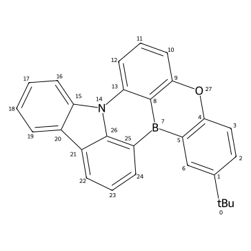 CC(C)(C)c1ccc2c(c1)B1c3c(cccc3-n3c4ccccc4c4cccc1c43)O2